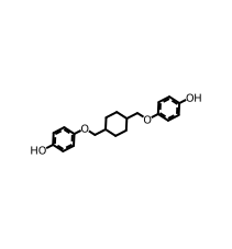 Oc1ccc(OCC2CCC(COc3ccc(O)cc3)CC2)cc1